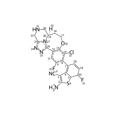 N#CC1=C(N)SC2C1=C(c1c(F)cc3c(c1Cl)OCC[C@@H]1CNCc4nnc-3n41)C=CC2F